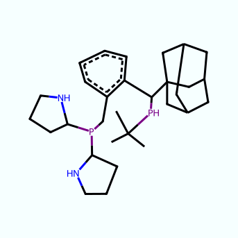 CC(C)(C)PC(c1ccccc1CP(C1CCCN1)C1CCCN1)C12CC3CC(CC(C3)C1)C2